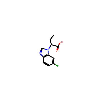 CCC(C(=O)O)n1cnc2ccc(F)cc21